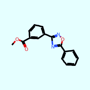 COC(=O)c1cccc(-c2noc(-c3ccccc3)n2)c1